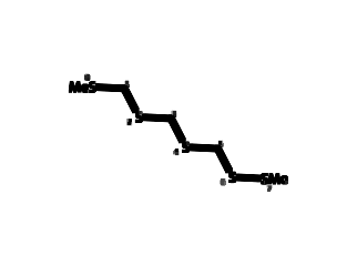 CSCSCSCSSC